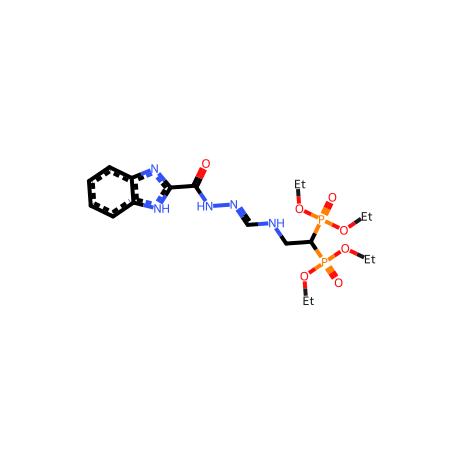 CCOP(=O)(OCC)C(CNC=NNC(=O)c1nc2ccccc2[nH]1)P(=O)(OCC)OCC